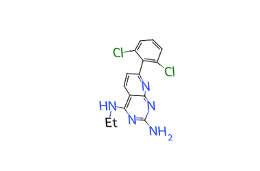 CCNc1nc(N)nc2nc(-c3c(Cl)cccc3Cl)ccc12